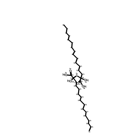 CCCCCCCCCCCCCCC(O)(SC(O)(CCCCCCCCCCCCCC)C(=O)O)C(=O)O